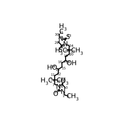 CCN1CC(=O)N(CC(C)(C)CCC(O)CCC(O)CCC(C)(C)CN2C(=S)CN(CC)C2=S)C1=O